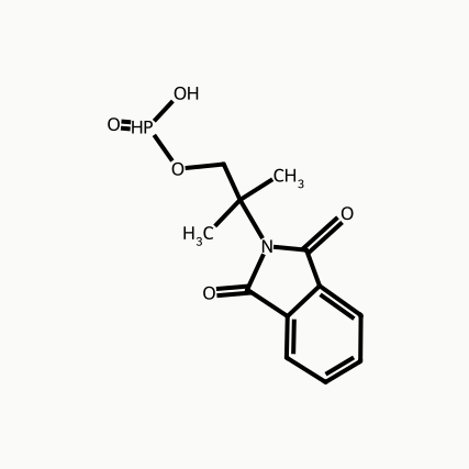 CC(C)(CO[PH](=O)O)N1C(=O)c2ccccc2C1=O